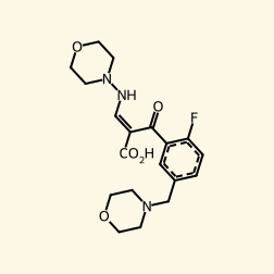 O=C(O)C(=CNN1CCOCC1)C(=O)c1cc(CN2CCOCC2)ccc1F